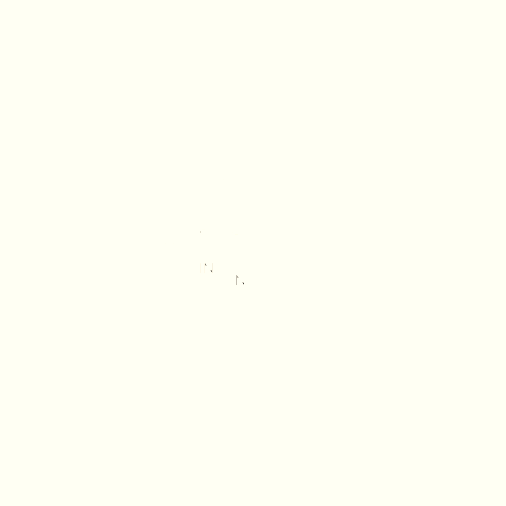 O=S(=O)(Cc1ccccc1)NN=C1CCCc2ccccc21